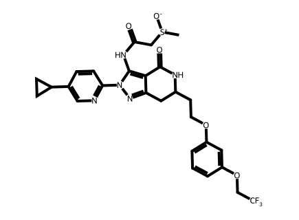 C[S+]([O-])CC(=O)Nc1c2c(nn1-c1ccc(C3CC3)cn1)CC(CCOc1cccc(OCC(F)(F)F)c1)NC2=O